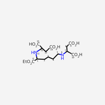 CCOC(=O)C(CCCCNC(CC(=O)O)C(=O)O)NC(CC(=O)O)C(=O)O